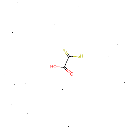 O=C(O)C(=S)S